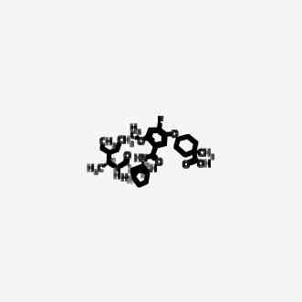 CCC(CC)[C@@H](C)NC(=O)[C@H]1[C@@H]2CC[C@@H](C2)[C@H]1NC(=O)c1cc(O[C@H]2CC[C@@](C)(C(=O)O)CC2)c(F)cc1OC